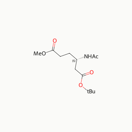 COC(=O)CC[C@@H](CC(=O)OC(C)(C)C)NC(C)=O